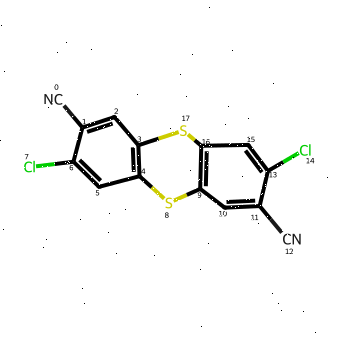 N#Cc1cc2c(cc1Cl)Sc1cc(C#N)c(Cl)cc1S2